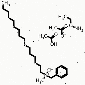 CC(=O)O.CC(=O)[O-].CCCCCCCCCCCCCCCC[N+](C)(C)Cc1ccccc1.CCON